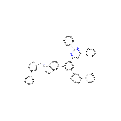 C1=Cc2cc(-c3cc(-c4cccc(-c5ccccc5)c4)cc(-c4cc(-c5ccccc5)nc(-c5ccccc5)n4)c3)ccc2/C1=C/c1cccc(-c2ccccc2)c1